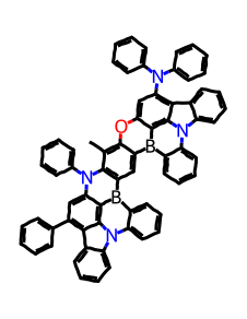 Cc1c2c(cc3c1N(c1ccccc1)c1cc(-c4ccccc4)c4c5ccccc5n5c4c1B3c1ccccc1-5)B1c3ccccc3-n3c4ccccc4c4c(N(c5ccccc5)c5ccccc5)cc(c1c43)O2